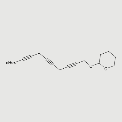 CCCCCCC#CCC#CCC#CCOC1CCCCO1